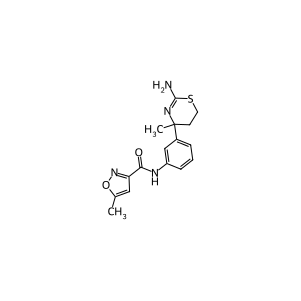 Cc1cc(C(=O)Nc2cccc(C3(C)CCSC(N)=N3)c2)no1